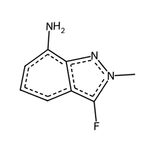 Cn1nc2c(N)cccc2c1F